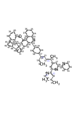 C=C/C=C(\N=C/C)c1cc(/C(C)=C/C=C(\C=C)c2ccc(-c3nc4ccccc4c4c5c(ccc34)C3(c4ccccc4O5)c4ccccc4-c4ccccc43)cc2)cc(-c2ccccn2)n1